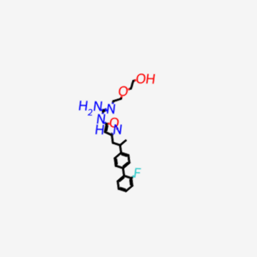 CC(Cc1cc(NC(N)=NCCOCCO)on1)c1ccc(-c2ccccc2F)cc1